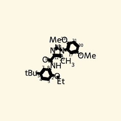 CCOc1ccc(C(C)(C)C)cc1NC(=O)c1nnn(-c2cc(OC)ccc2OC)c1C